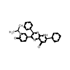 CC(C)n1cc(-c2nc3c(=O)cc(-c4ccccc4)[nH]c3nc2-c2ccccc2)ccc1=O